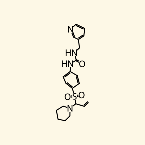 C=CC(N1CCCCC1)S(=O)(=O)c1ccc(NC(=O)NCc2cccnc2)cc1